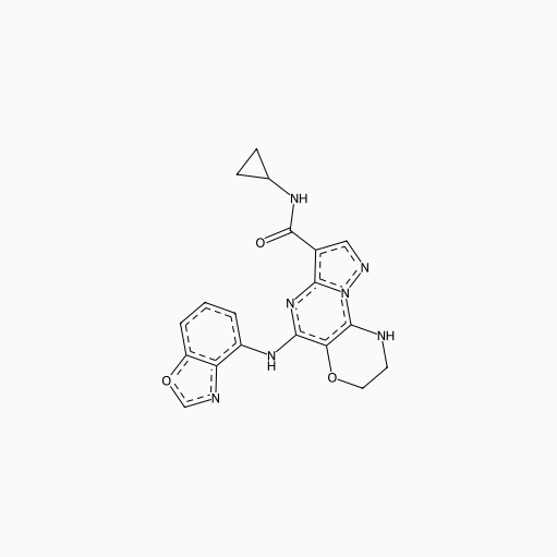 O=C(NC1CC1)c1cnn2c3c(c(Nc4cccc5ocnc45)nc12)OCCN3